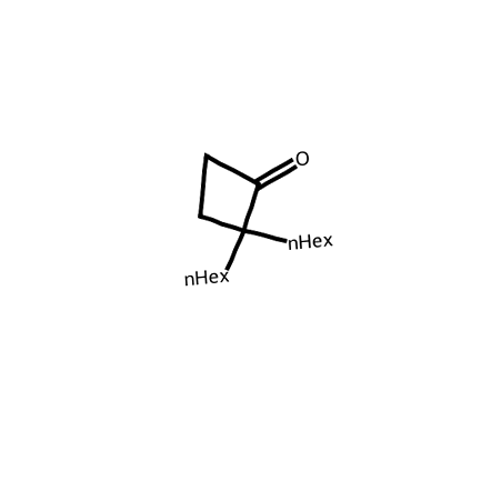 CCCCCCC1(CCCCCC)CCC1=O